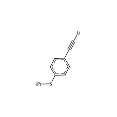 [Li][C]#Cc1ccc(SC(C)C)cc1